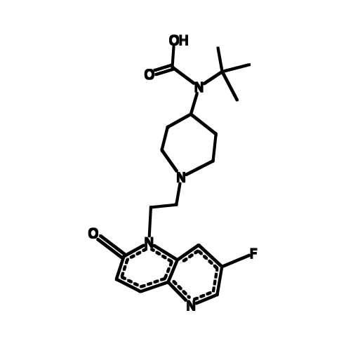 CC(C)(C)N(C(=O)O)C1CCN(CCn2c(=O)ccc3ncc(F)cc32)CC1